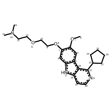 COc1cc2c(cc1OCCOCCN(C)C)[nH]c1ccnc(C3CCCC3)c12